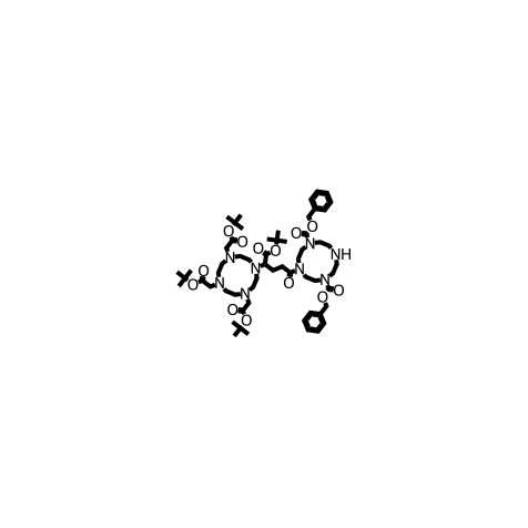 CC(C)(C)OC(=O)CN1CCN(CC(=O)OC(C)(C)C)CCN(C(CCC(=O)N2CCN(C(=O)OCc3ccccc3)CCNCCN(C(=O)OCc3ccccc3)CC2)C(=O)OC(C)(C)C)CCN(CC(=O)OC(C)(C)C)CC1